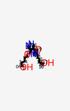 C[C@@H](O)CCCCOc1nn(CCCC[C@@H](C)O)c(=O)c2cnncc12